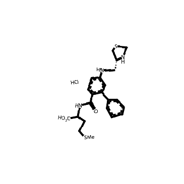 CSCCC(NC(=O)c1ccc(NC[C@@H]2CSCN2)cc1-c1ccccc1)C(=O)O.Cl